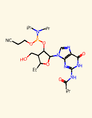 CCC1OC(n2cnc3c(=O)[nH]c(NC(=O)C(C)C)nc32)C(OP(OCCC#N)N(C(C)C)C(C)C)C1CO